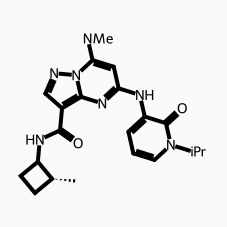 CNc1cc(Nc2cccn(C(C)C)c2=O)nc2c(C(=O)NC3CC[C@H]3C)cnn12